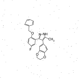 Cc1[nH]nc(-c2cc(F)ccc2OCc2ccccc2)c1-c1ccc2c(c1)OCCO2